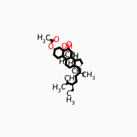 CC[C@H](CC[C@@H](C)[C@H]1CC[C@H]2[C@@H]3CC(=O)[C@@]4(O)C[C@@H](OC(C)=O)CC[C@]4(C)[C@H]3CC[C@]12C)C(C)C